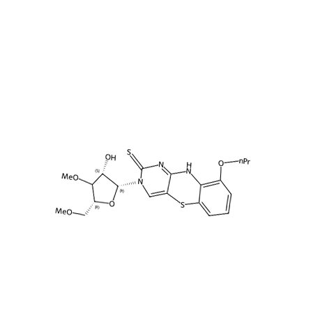 CCCOc1cccc2c1Nc1nc(=S)n([C@@H]3O[C@H](COC)C(OC)[C@@H]3O)cc1S2